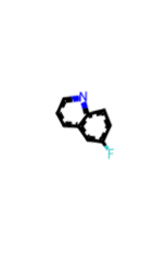 Fc1ccc2ncccc2c1